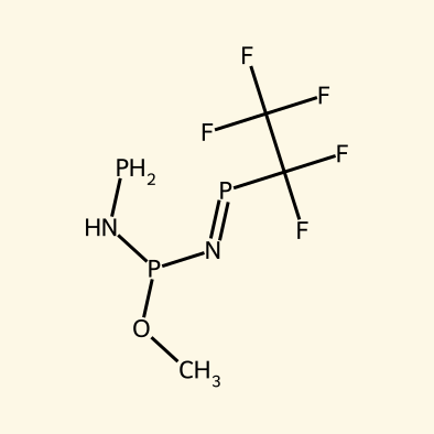 COP(N=PC(F)(F)C(F)(F)F)NP